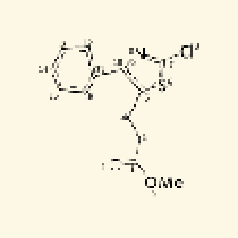 COC(=O)CCc1sc(Cl)nc1-c1ccccc1